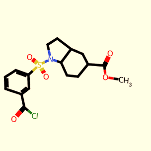 COC(=O)C1CCC2C(CCN2S(=O)(=O)c2cccc(C(=O)Cl)c2)C1